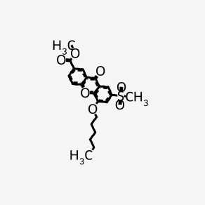 CCCCCCOc1cc(S(C)(=O)=O)cc2c(=O)c3cc(C(=O)OC)ccc3oc12